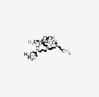 CCCN(CC)CCCN(CCCNC(CC)CC)CC[Si](CC)(OCC)OCC